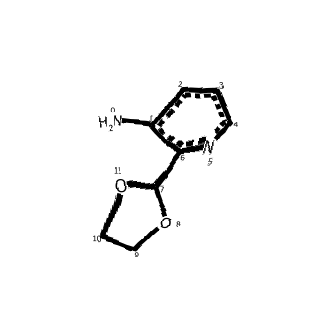 Nc1cccnc1C1OCCO1